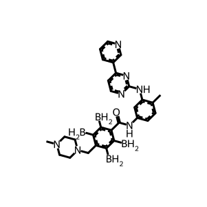 Bc1c(B)c(C(=O)Nc2ccc(C)c(Nc3nccc(-c4cccnc4)n3)c2)c(B)c(B)c1CN1CCN(C)CC1